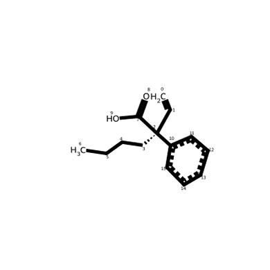 C=C[C@](CCCC)(C(=O)O)c1ccccc1